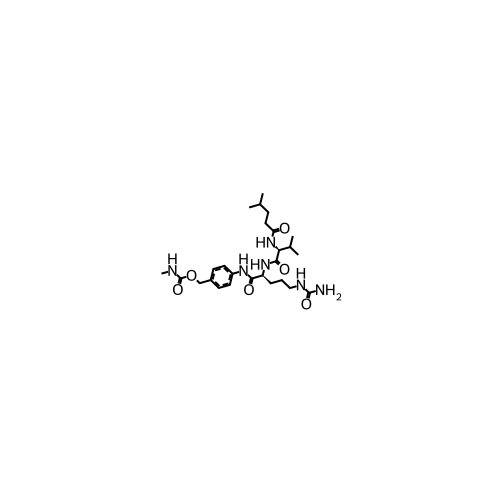 CNC(=O)OCc1ccc(NC(=O)[C@H](CCCNC(N)=O)NC(=O)[C@@H](NC(=O)CCC(C)C)C(C)C)cc1